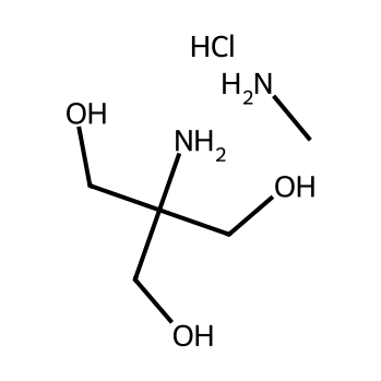 CN.Cl.NC(CO)(CO)CO